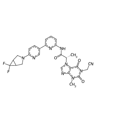 C[C@@H](C(=O)Nc1cccc(-c2ccc(N3CC4C(C3)C4(F)F)nc2)n1)n1cnc2c1c(=O)n(CC#N)c(=O)n2C